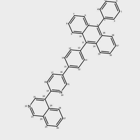 c1ccc(-c2c3ccccc3c(-c3ccc(-c4ccc(-c5cncc6ccccc56)nc4)cc3)c3ccccc23)cc1